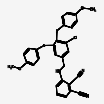 COc1ccc(Sc2cc(CNc3cccc(C#N)c3C#N)cc(Cl)c2Sc2ccc(OC)cc2)cc1